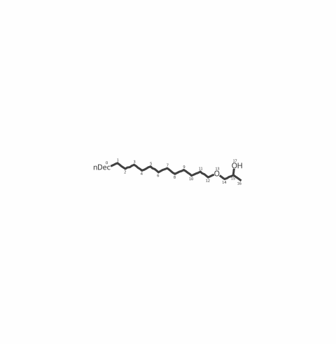 CCCCCCCCCCCCCCCCCCCCCCOCC(C)O